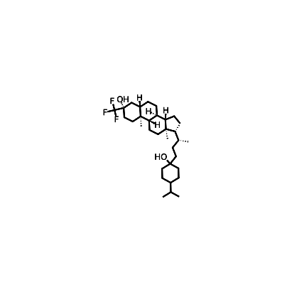 CC(C)C1CCC(O)(CC[C@@H](C)[C@H]2CC[C@H]3[C@@H]4CC[C@H]5C[C@](O)(C(F)(F)F)CC[C@]5(C)[C@H]4CC[C@]23C)CC1